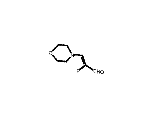 O=CC(F)=CN1CCOCC1